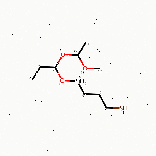 CCC(O[SiH2]CCCS)OC(C)OC